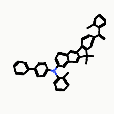 C=C(c1ccc2c(c1)C(C)(C)c1cc3cc(N(c4ccc(-c5ccccc5)cc4)c4ccccc4C)ccc3cc1-2)c1ccccc1C